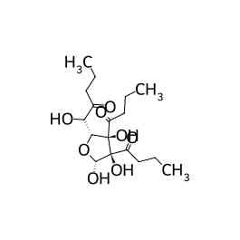 CCCC(=O)C(O)[C@H]1O[C@@H](O)[C@@](O)(C(=O)CCC)[C@@]1(O)C(=O)CCC